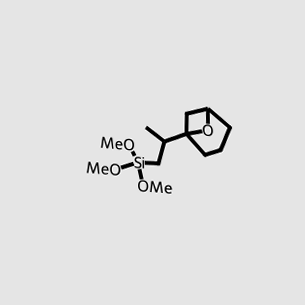 CO[Si](CC(C)C12CCCC(C1)O2)(OC)OC